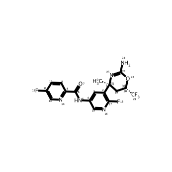 C[C@@]1(c2cc(NC(=O)c3ccc(F)cn3)cnc2F)C[C@@H](C(F)(F)F)OC(N)=N1